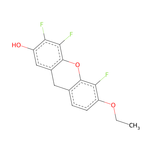 CCOc1ccc2c(c1F)Oc1c(cc(O)c(F)c1F)C2